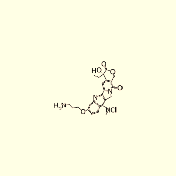 CCc1c2c(nc3cc(OCCCN)ccc13)-c1cc3c(c(=O)n1C2)COC(=O)[C@]3(O)CC.Cl